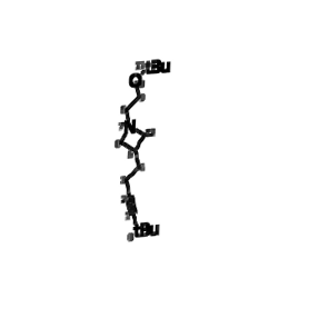 CC(C)(C)C#CCCC1CN(CCOC(C)(C)C)C1